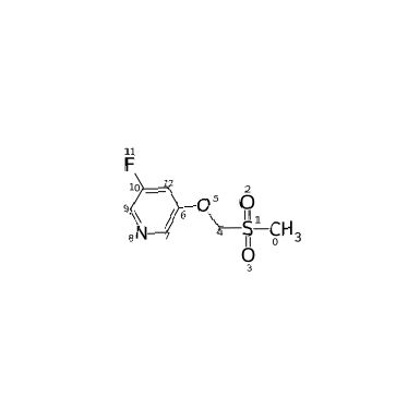 CS(=O)(=O)COc1cn[c]c(F)c1